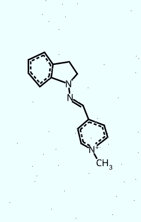 C[n+]1ccc(C=NN2CCc3ccccc32)cc1